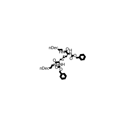 CCCCCCCCCCCCNC(=O)[C@H](CSSC[C@H](NC(=O)OCc1ccccc1)C(=O)NCCCCCCCCCCCC)NC(=O)OCc1ccccc1